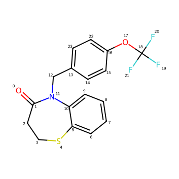 O=C1CCSc2ccccc2N1Cc1ccc(OC(F)(F)F)cc1